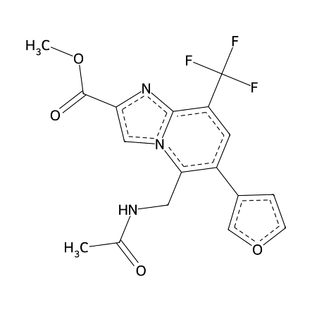 COC(=O)c1cn2c(CNC(C)=O)c(-c3ccoc3)cc(C(F)(F)F)c2n1